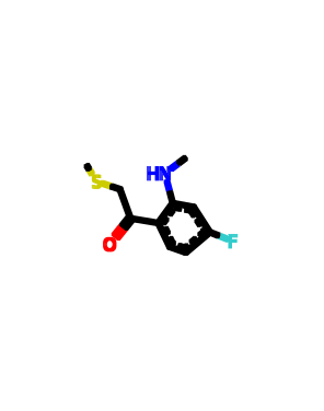 CNc1cc(F)ccc1C(=O)CSC